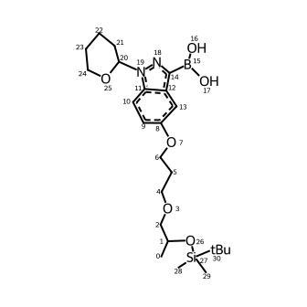 CC(COCCCOc1ccc2c(c1)c(B(O)O)nn2C1CCCCO1)O[Si](C)(C)C(C)(C)C